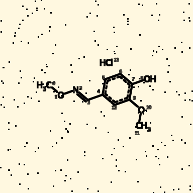 CON=Cc1ccc(O)c(OC)c1.Cl